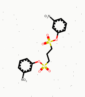 O=[N+]([O-])c1cccc(OS(=O)(=O)CCCS(=O)(=O)Oc2cccc([N+](=O)[O-])c2)c1